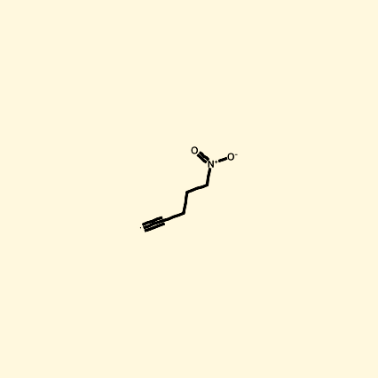 [C]#CCCC[N+](=O)[O-]